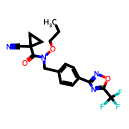 CCCON(Cc1ccc(-c2noc(C(F)(F)F)n2)cc1)C(=O)C1(C#N)CC1